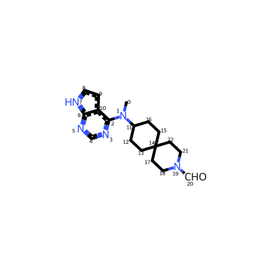 CN(c1ncnc2[nH]ccc12)C1CCC2(CC1)CCN(C=O)CC2